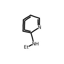 CCNC1=C=C=CC=N1